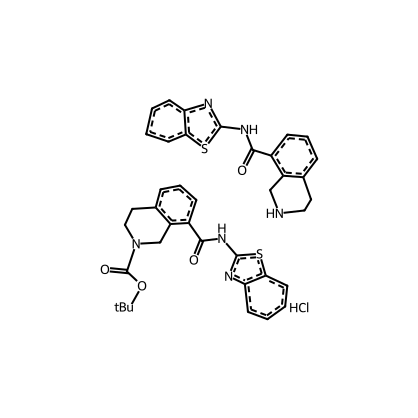 CC(C)(C)OC(=O)N1CCc2cccc(C(=O)Nc3nc4ccccc4s3)c2C1.Cl.O=C(Nc1nc2ccccc2s1)c1cccc2c1CNCC2